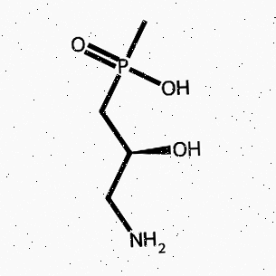 CP(=O)(O)C[C@@H](O)CN